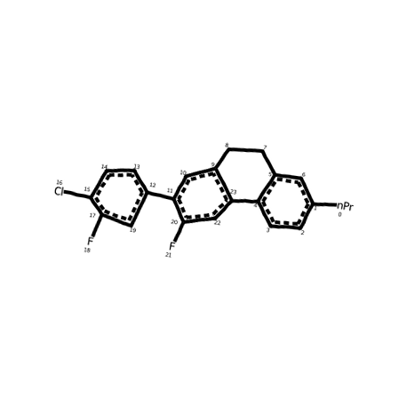 CCCc1ccc2c(c1)CCc1cc(-c3ccc(Cl)c(F)c3)c(F)cc1-2